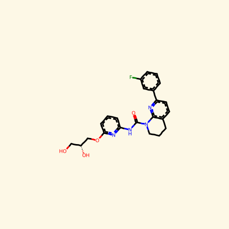 O=C(Nc1cccc(OC[C@H](O)CO)n1)N1CCCc2ccc(-c3cccc(F)c3)nc21